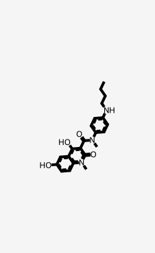 CCCCNc1ccc(N(C)C(=O)c2c(O)c3cc(O)ccc3n(C)c2=O)cc1